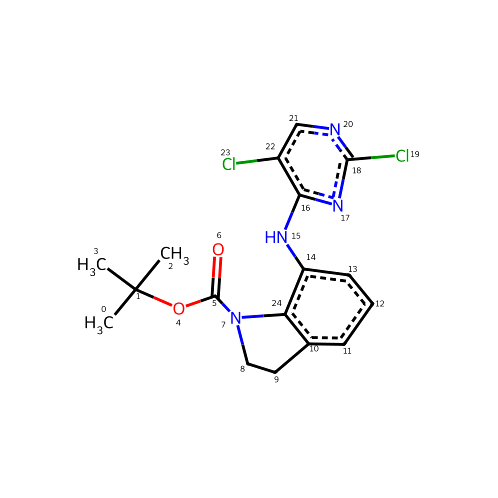 CC(C)(C)OC(=O)N1CCc2cccc(Nc3nc(Cl)ncc3Cl)c21